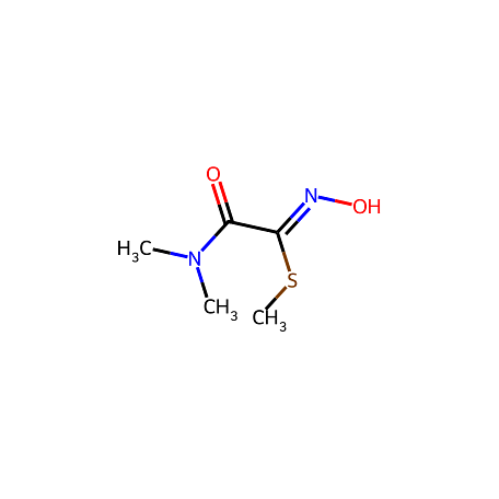 CS/C(=N\O)C(=O)N(C)C